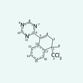 CC1(C(Cl)(Cl)Cl)CC=C(c2ncncn2)c2ccccc21